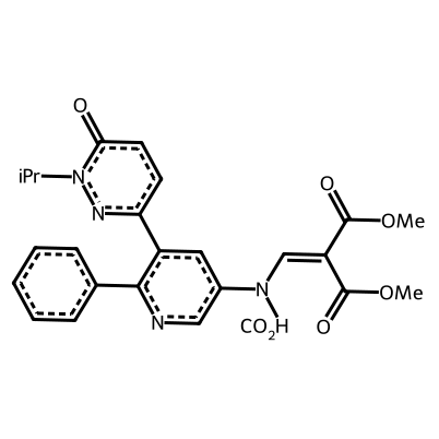 COC(=O)C(=CN(C(=O)O)c1cnc(-c2ccccc2)c(-c2ccc(=O)n(C(C)C)n2)c1)C(=O)OC